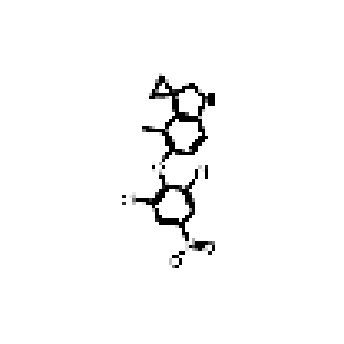 Cc1c(Oc2c(Cl)cc([N+](=O)[O-])cc2Cl)ccc2c1C1(CC1)CN2